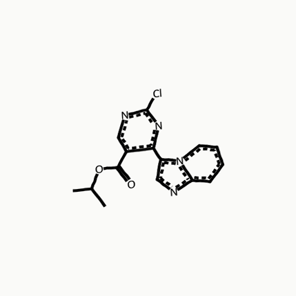 CC(C)OC(=O)c1cnc(Cl)nc1-c1cnc2ccccn12